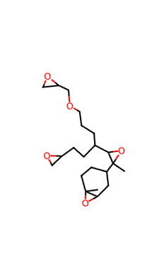 CC12CCC(C3(C)OC3C(CCCOCC3CO3)CCC3CO3)CC1O2